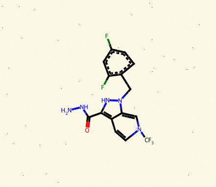 NNC(=O)C1=C2C=CN(C(F)(F)F)C=C2N(Cc2ccc(F)cc2F)N1